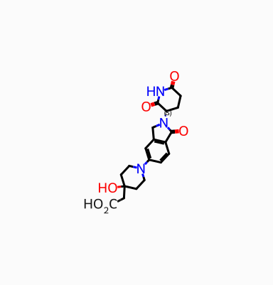 O=C(O)CC1(O)CCN(c2ccc3c(c2)CN([C@H]2CCC(=O)NC2=O)C3=O)CC1